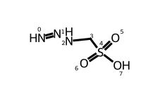 N=NNCS(=O)(=O)O